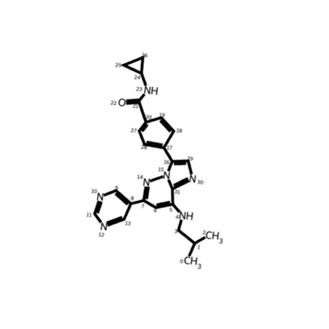 CC(C)CNc1cc(-c2cncnc2)nn2c(-c3ccc(C(=O)NC4CC4)cc3)cnc12